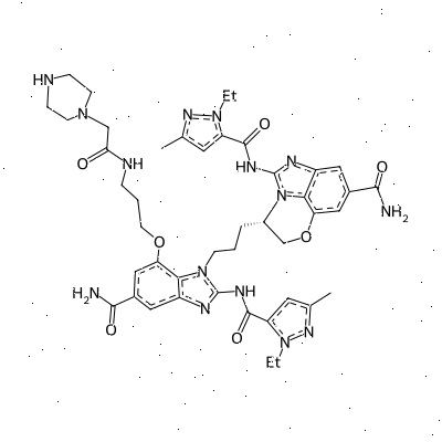 CCn1nc(C)cc1C(=O)Nc1nc2cc(C(N)=O)cc(OCCCNC(=O)CN3CCNCC3)c2n1CCC[C@H]1COc2cc(C(N)=O)cc3nc(NC(=O)c4cc(C)nn4CC)n1c23